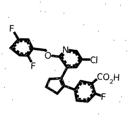 O=C(O)c1cc(C2=C(c3cc(Cl)cnc3OCc3cc(F)ccc3F)CCC2)ccc1F